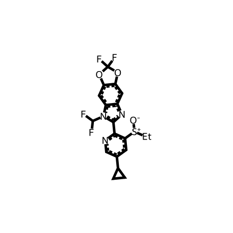 CC[S+]([O-])c1cc(C2CC2)cnc1-c1nc2cc3c(cc2n1C(F)F)OC(F)(F)O3